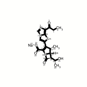 CCC(=O)c1ncn2cc(C3=C(C(=O)[O-])N4C(=O)[C@H]([C@@H](C)O)[C@H]4[C@H]3C)sc12.[Na+]